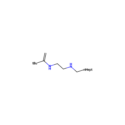 C=C(NCCNCCCCCCCC)C(C)(C)C